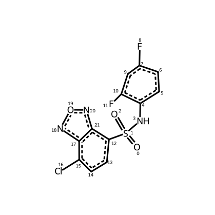 O=S(=O)(Nc1ccc(F)cc1F)c1ccc(Cl)c2nonc12